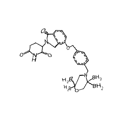 BC1(B)CN(Cc2ccc(COc3cccc4c3CN(C3CCC(=O)NC3=O)C4=O)cc2)C(B)(B)CO1